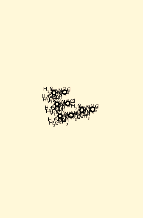 Cc1cc(-n2nc3ccc(Cl)cc3n2)c(O)c(C(C)(C)C)c1.Cc1cc(-n2nc3ccc(Cl)cc3n2)c(O)c(C(C)(C)C)c1.Cc1cc(-n2nc3ccc(Cl)cc3n2)c(O)c(C(C)(C)C)c1.Cc1cc(-n2nc3ccc(Cl)cc3n2)c(O)c(C(C)(C)C)c1